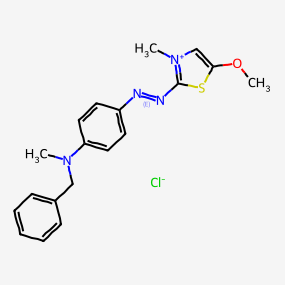 COc1c[n+](C)c(/N=N/c2ccc(N(C)Cc3ccccc3)cc2)s1.[Cl-]